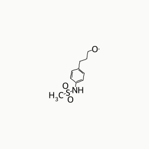 CS(=O)(=O)Nc1ccc(CCC[O])cc1